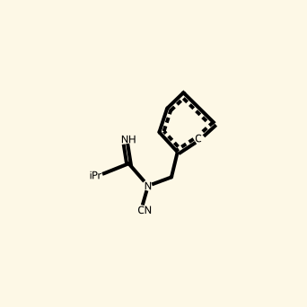 CC(C)C(=N)N(C#N)Cc1ccccc1